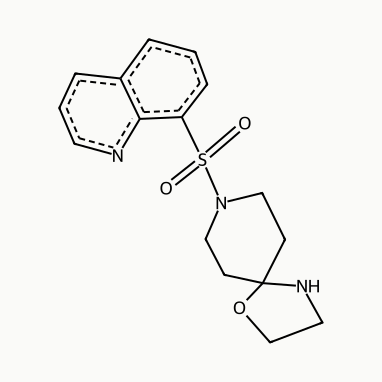 O=S(=O)(c1cccc2cccnc12)N1CCC2(CC1)NCCO2